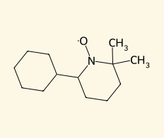 CC1(C)CCCC(C2CCCCC2)N1[O]